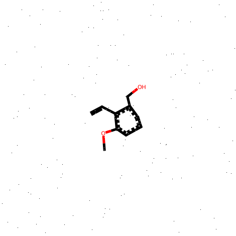 C=Cc1c([CH]O)cccc1OC